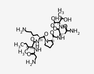 CC[C@H](C)[C@H](NC(=O)CN)C(=O)N[C@@H](CCCCN)C(=O)N1CCC[C@H]1C(=O)N[C@@H](CC(N)=O)C(=O)N[C@H](C(=O)O)[C@@H](C)O